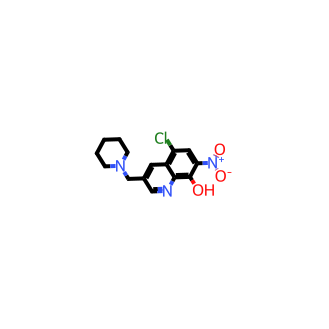 O=[N+]([O-])c1cc(Cl)c2cc(CN3CCCCC3)cnc2c1O